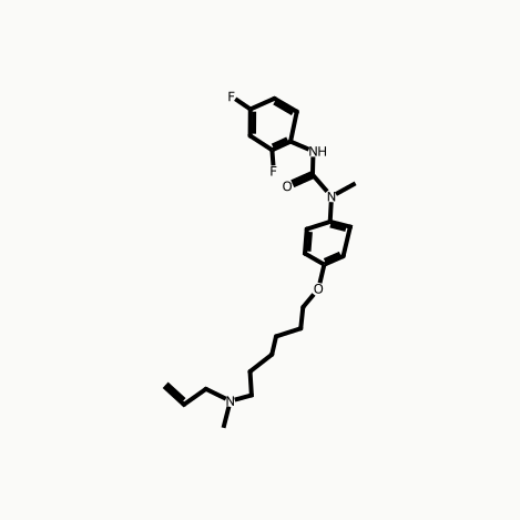 C=CCN(C)CCCCCCOc1ccc(N(C)C(=O)Nc2ccc(F)cc2F)cc1